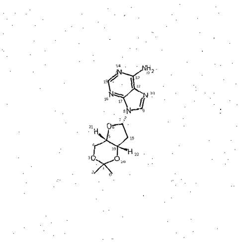 CC1(C)OC[C@@H]2O[C@H](n3cnc4c(N)ncnc43)C[C@@H]2O1